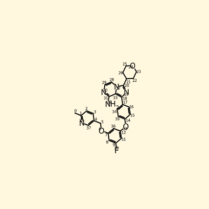 Cc1ccc(COc2cc(F)cc(Oc3ccc(-c4nc(C5CCOCC5)n5ccnc(N)c45)cc3)c2)cn1